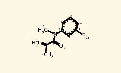 C=C(C)C(=O)N(C)c1cccc(F)c1